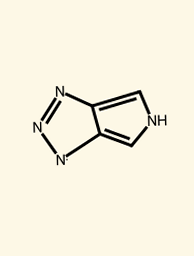 c1[nH]cc2c1[N]N=N2